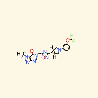 Cn1cnc2ncn(Cc3nc(C4[C@H]5CN(c6cccc(OC(F)F)c6)C[C@@H]45)no3)c(=O)c21